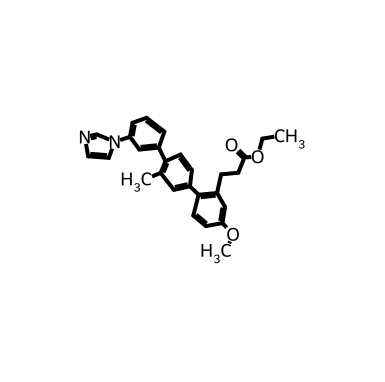 CCOC(=O)CCc1cc(OC)ccc1-c1ccc(-c2cccc(-n3ccnc3)c2)c(C)c1